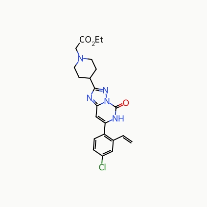 C=Cc1cc(Cl)ccc1-c1cc2nc(C3CCN(CC(=O)OCC)CC3)nn2c(=O)[nH]1